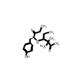 CCC(=O)[C@H](Cc1ccc(O)cc1)NC(CC)C(C)(C)C(C)=O